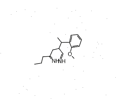 CCCC(=N)CC(C=N)C(C)c1ccccc1OC